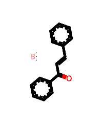 O=C(C=Cc1ccccc1)c1ccccc1.[B]